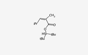 CC(=CC(C)C)C(=O)O[SiH](C(C)(C)C)C(C)(C)C